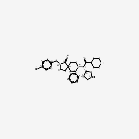 O=C(C1CCOCC1)C([C@@H]1CNC[C@@H]1c1ccccc1)N1CCC2(CCN(Cc3ccc(Br)cc3)C2=O)CC1